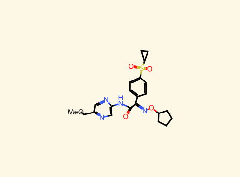 COCc1cnc(NC(=O)/C(=N/OC2CCCC2)c2ccc(S(=O)(=O)C3CC3)cc2)cn1